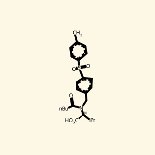 CCCCC(=O)N(Cc1ccc(S(=O)(=O)c2ccc(C)cc2)cc1)[C@H](C(=O)O)C(C)C